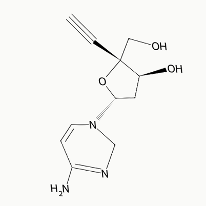 C#C[C@]1(CO)O[C@@H](N2C=CC(N)=NC2)C[C@@H]1O